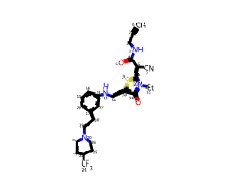 C#CCNC(=O)C(C#N)=c1sc(=CNc2cccc(CCN3CCC(C(F)(F)F)CC3)c2)c(=O)n1CC